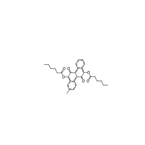 CCCCCC(=O)OC1=c2ccccc2=C2C(=O)C(OC(=O)CCCCC)=c3cc(C)ccc3=C2C1=O